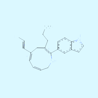 CC/C=C/C1=C/C=C\CN/C(c2ccc3[nH]ccc3c2)=C(/CCNC)C1